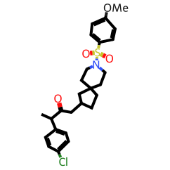 COc1ccc(S(=O)(=O)N2CCC3(CCC(CC(=O)C(C)c4ccc(Cl)cc4)C3)CC2)cc1